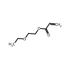 [CH2]COCCOC(=O)C=C